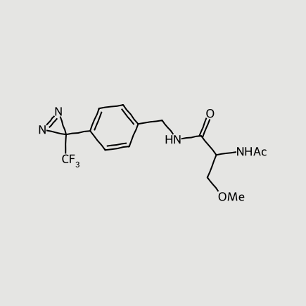 COCC(NC(C)=O)C(=O)NCc1ccc(C2(C(F)(F)F)N=N2)cc1